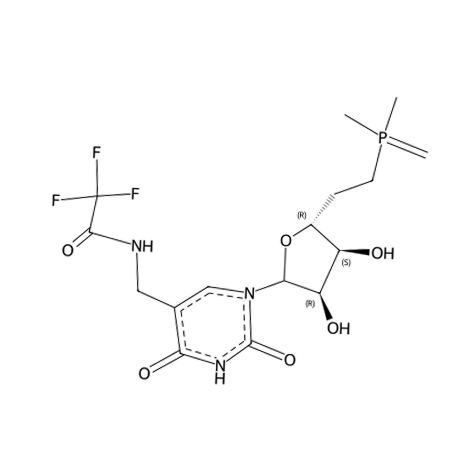 C=P(C)(C)CC[C@H]1OC(n2cc(CNC(=O)C(F)(F)F)c(=O)[nH]c2=O)[C@H](O)[C@@H]1O